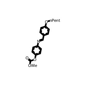 CCCCCOc1ccc(C=Nc2ccc(OC(=O)OC)cc2)cc1